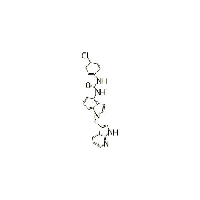 O=C(Nc1ccc(Cl)cc1)Nc1cccc2c1ccn2Cc1c[nH]c2ncccc12